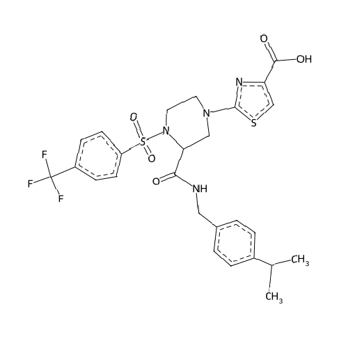 CC(C)c1ccc(CNC(=O)C2CN(c3nc(C(=O)O)cs3)CCN2S(=O)(=O)c2ccc(C(F)(F)F)cc2)cc1